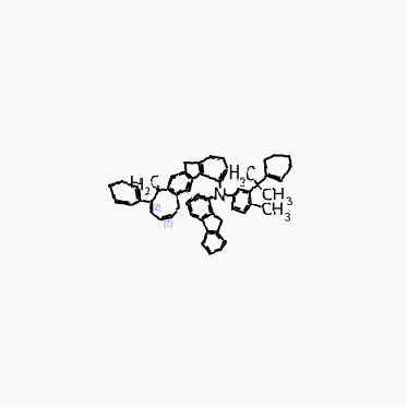 C=C1/C(C2=CCCC=C2)=C\C=C/Cc2cc3c(cc21)CC1=C3C(N(c2ccc(C)c(C(C)(C)C3=CCCCC3)c2)c2cccc3c2Cc2ccccc2-3)=CCC1